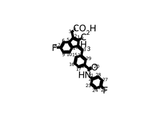 CC1=C(CC(=O)O)c2cc(F)ccc2/C1=C\c1cccc(C(=O)Nc2ccc(F)cc2)c1